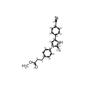 COC(=O)CCc1ccc(-n2cc(-c3ccc(C#N)cc3)[nH]c2=S)cc1